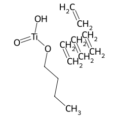 C=C.C=C.C=C.C=C.CCCC[O][Ti](=[O])[OH]